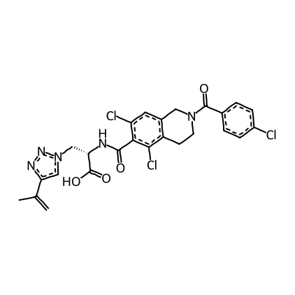 C=C(C)c1cn(C[C@H](NC(=O)c2c(Cl)cc3c(c2Cl)CCN(C(=O)c2ccc(Cl)cc2)C3)C(=O)O)nn1